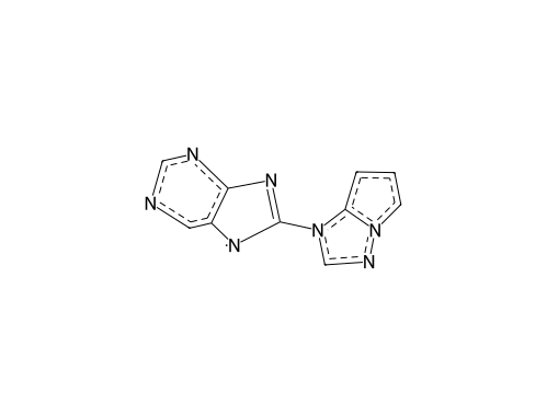 c1cc2n(C3=Nc4ncncc4[N]3)cnn2c1